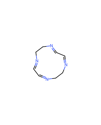 C1=N\CC/N=C\C=N\CC/N=C/1